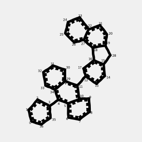 c1ccc(-c2c3ccccc3c(-c3ccc4c(c3)-c3c(ccc5ccccc35)C4)c3ccccc23)cc1